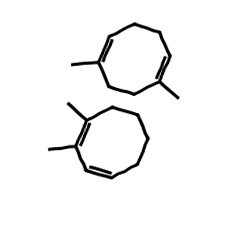 CC1=C(C)CCCCC=C1.CC1=CCCC=C(C)CC1